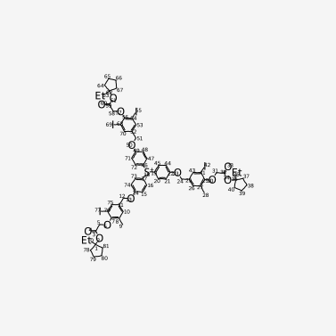 CCC1(OC(=O)COc2c(C)cc(COc3ccc([S+](c4ccc(OCc5cc(C)c(OCC(=O)OC6(CC)CCCC6)c(I)c5)cc4)c4ccc(OCc5cc(I)c(OCC(=O)OC6(CC)CCCC6)c(I)c5)cc4)cc3)cc2I)CCCC1